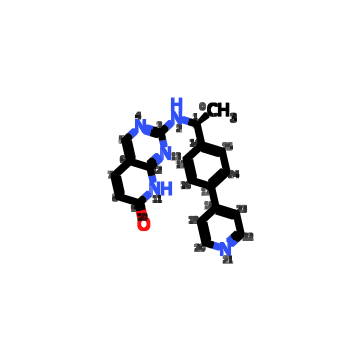 C[C@H](Nc1ncc2ccc(=O)[nH]c2n1)c1ccc(-c2ccncc2)cc1